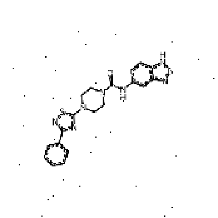 O=C(Nc1ccc2[nH]nnc2c1)N1CCN(c2nc(-c3ccccc3)ns2)CC1